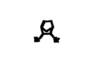 BrC1C2=CCC(C2)C1Br